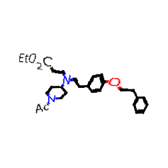 CCOC(=O)CCN(CCc1ccc(OCCc2ccccc2)cc1)C1CCN(C(C)=O)CC1